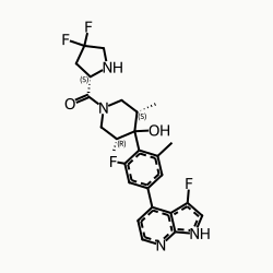 Cc1cc(-c2ccnc3[nH]cc(F)c23)cc(F)c1C1(O)[C@H](C)CN(C(=O)[C@@H]2CC(F)(F)CN2)C[C@@H]1C